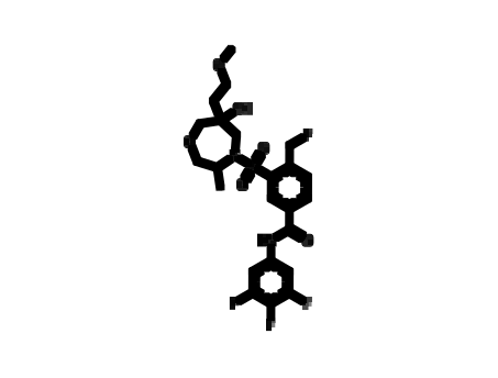 COCCC1(O)COCC(C)N(S(=O)(=O)c2cc(C(=O)Nc3cc(F)c(F)c(F)c3)ccc2CF)C1